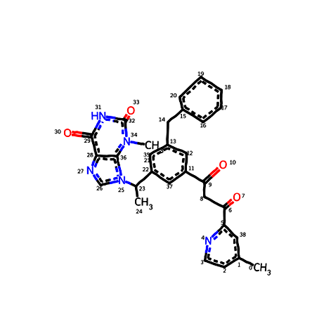 Cc1ccnc(C(=O)CC(=O)c2cc(Cc3ccccc3)cc(C(C)n3cnc4c(=O)[nH]c(=O)n(C)c43)c2)c1